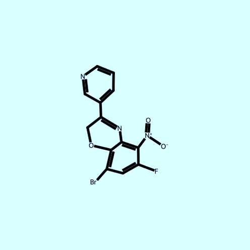 O=[N+]([O-])c1c(F)cc(Br)c2c1N=C(c1cccnc1)CO2